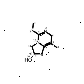 CSC1=NCC(C)=C2C[C@H](O)CN12